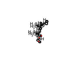 CN[C@@H](C)C(=O)N[C@@H](COCc1ccc([C@H](NC(=O)[C@H](C)NC)C(=O)N2CCC[C@H]2C(=O)NC2CCCc3ccccc32)cc1)C(=O)N1CCC[C@H]1C(=O)N[C@@H]1CCCc2ccccc21